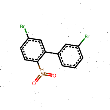 O=[SH](=O)c1ccc(Br)cc1-c1cc[c]c(Br)c1